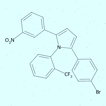 O=[N+]([O-])c1cccc(-c2ccc(-c3ccc(Br)cc3)n2-c2ccccc2C(F)(F)F)c1